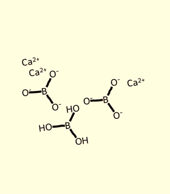 OB(O)O.[Ca+2].[Ca+2].[Ca+2].[O-]B([O-])[O-].[O-]B([O-])[O-]